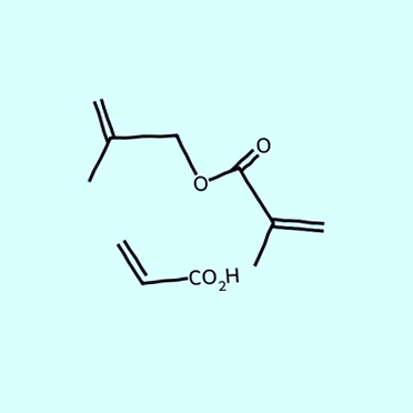 C=C(C)COC(=O)C(=C)C.C=CC(=O)O